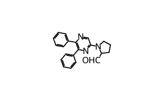 O=CC1CCCN1c1cnc(-c2ccccc2)c(-c2ccccc2)n1